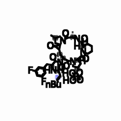 CCCC/C=C/C(=O)N[C@@H](Cc1cc(F)cc(F)c1)C(=O)N[C@@H]1C(=O)N2C[C@H](OP(=O)(O)O)C[C@H]2C(=O)N2CCCC[C@H]2C(=O)N[C@@H](C)C(=O)N2C[C@H](C)CC23C(=O)C3[C@H]1C